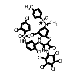 Cc1ccc(S(=O)(=O)N(C)c2cc(Cl)cc(SC3C(=O)N(c4c(Cl)c(Cl)c(Cl)c(Cl)c4Cl)N=C3Nc3cc(NS(=O)(=O)c4ccc(Cl)cc4Cl)ccc3Cl)c2)cc1